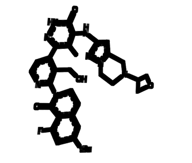 Cc1c(-c2ccnc(-n3ccc4cc(C(C)(C)C)cc(F)c4c3=O)c2CO)n[nH]c(=O)c1Nc1cc2n(n1)CCN(C1COC1)C2